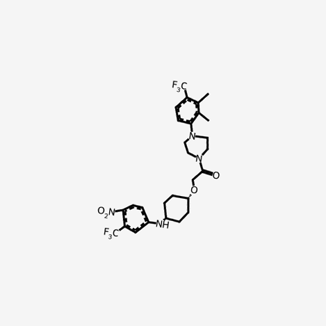 Cc1c(N2CCN(C(=O)CO[C@H]3CC[C@H](Nc4ccc([N+](=O)[O-])c(C(F)(F)F)c4)CC3)CC2)ccc(C(F)(F)F)c1C